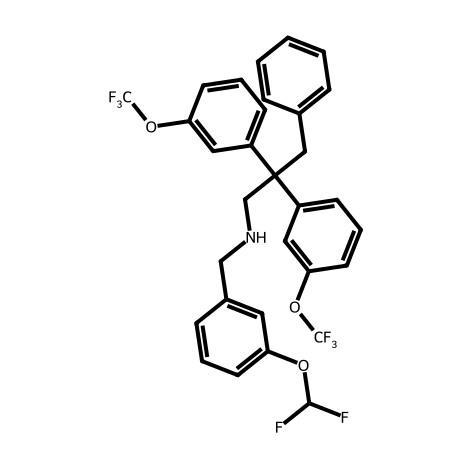 FC(F)Oc1cccc(CNCC(Cc2ccccc2)(c2cccc(OC(F)(F)F)c2)c2cccc(OC(F)(F)F)c2)c1